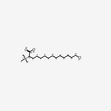 C[N+](C)(C)C(CCCCCCCCCCCCCl)C(=O)[O-]